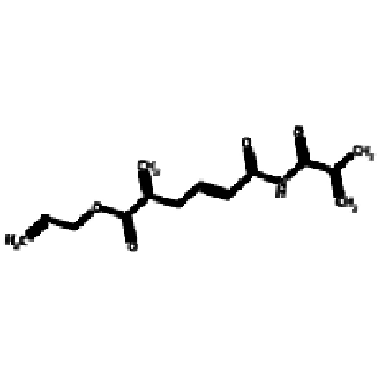 C=CCOC(=O)C(=C)CC=CC(=O)NC(=O)C(=C)C